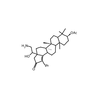 CC(=O)O[C@H]1CCC2(C)C(CC[C@]3(C)C2CCC2C4=C(C(C)C)C(=O)CC4(C(O)CN)CC[C@]23C)C1(C)C